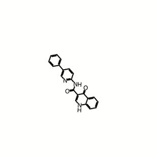 O=C(Nc1ccc(-c2ccccc2)cn1)c1c[nH]c2ccccc2c1=O